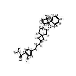 CN(C)C(=O)c1ccc(CCCC2CC3(CCN(C(=O)[C@](O)(c4ccccc4)C(F)(F)F)CC3)C2)cc1Cl